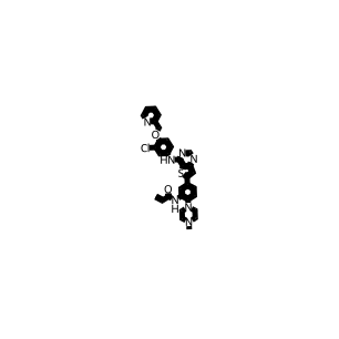 C=CC(=O)Nc1cc(-c2cc3ncnc(Nc4ccc(OCc5ccccn5)c(Cl)c4)c3s2)ccc1N1CCN(C)CC1